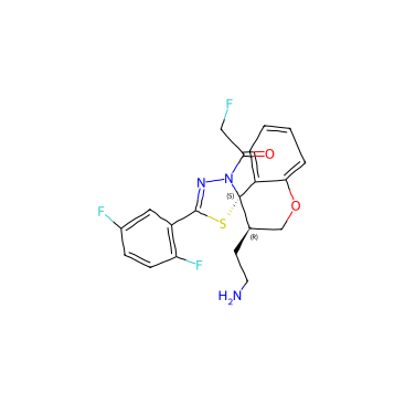 NCC[C@@H]1COc2ccccc2[C@@]12SC(c1cc(F)ccc1F)=NN2C(=O)CF